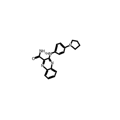 NC(=O)c1nc2ccccc2nc1Nc1ccc(N2CCCC2)cc1